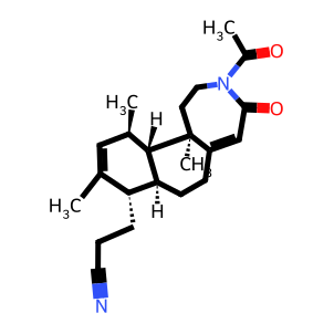 CC(=O)N1CC[C@@]2(C)C(=CC1=O)CC[C@@H]1[C@@H]2[C@H](C)C=C(C)[C@H]1CCC#N